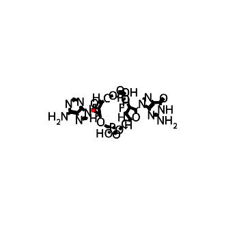 Nc1nc2c(ncn2[C@@H]2O[C@@H]3COP(=O)(O)CO[C@@H]4[C@H](F)[C@@H](COP(=O)(O)O[C@@H]2[C@@H]3F)O[C@H]4n2cnc3c(N)ncnc32)c(=O)[nH]1